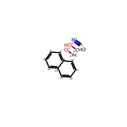 C#N.CC([O])=O.O=[C]O.c1ccc2ccccc2c1